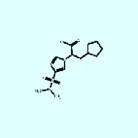 CN(C)S(=O)(=O)c1cn(C(CC2CCCC2)C(=O)Cl)cn1